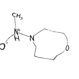 C[NH+]([O-])N1CCOCC1